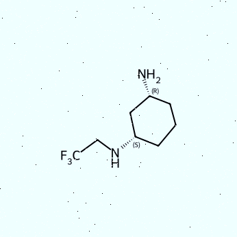 N[C@@H]1CCC[C@H](NCC(F)(F)F)C1